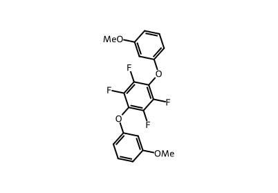 COc1cccc(Oc2c(F)c(F)c(Oc3cccc(OC)c3)c(F)c2F)c1